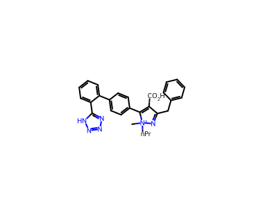 CCC[N+]1(C)N=C(Cc2ccccc2)C(C(=O)O)=C1c1ccc(-c2ccccc2-c2nnn[nH]2)cc1